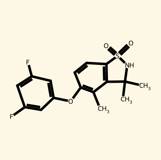 Cc1c(Oc2cc(F)cc(F)c2)ccc2c1C(C)(C)NS2(=O)=O